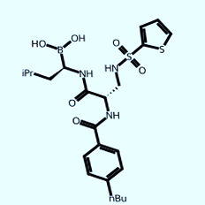 CCCCc1ccc(C(=O)N[C@@H](CNS(=O)(=O)c2cccs2)C(=O)N[C@@H](CC(C)C)B(O)O)cc1